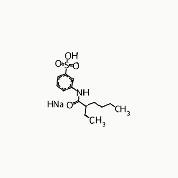 CCCCC(CC)C(=O)Nc1cccc(S(=O)(=O)O)c1.[NaH]